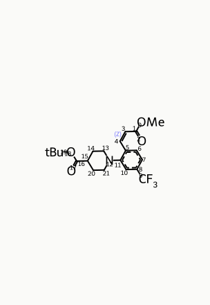 COC(=O)/C=C\c1ccc(C(F)(F)F)cc1N1CCC(C(=O)OC(C)(C)C)CC1